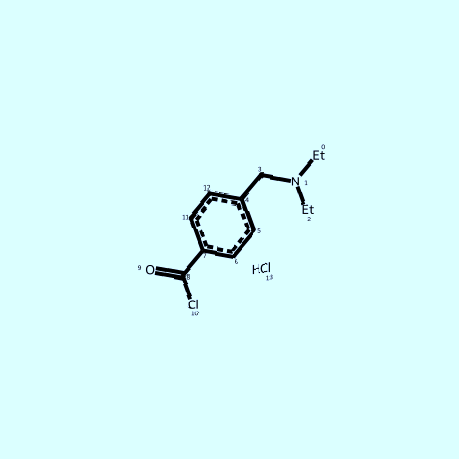 CCN(CC)Cc1ccc(C(=O)Cl)cc1.Cl